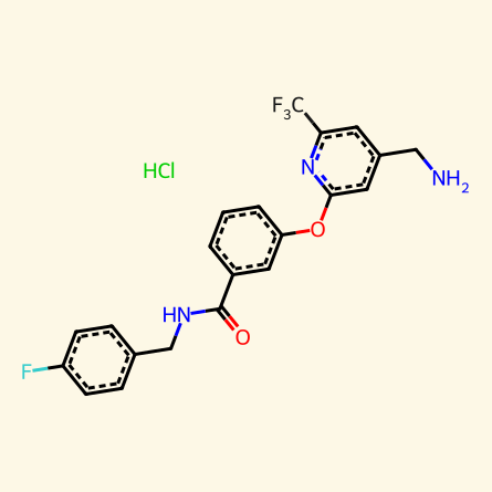 Cl.NCc1cc(Oc2cccc(C(=O)NCc3ccc(F)cc3)c2)nc(C(F)(F)F)c1